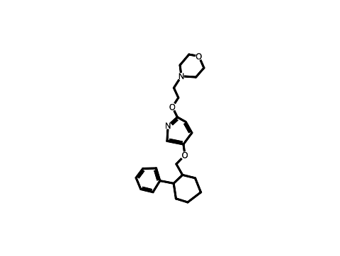 c1ccc(C2CCCCC2COc2ccc(OCCN3CCOCC3)nc2)cc1